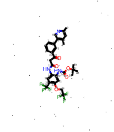 Cc1cc(C)c(-c2cccc(C(=O)CC(=O)Nc3cc(C(F)(F)F)c(OCC(F)(F)F)cc3NC(=O)OC(C)(C)C)c2)cn1